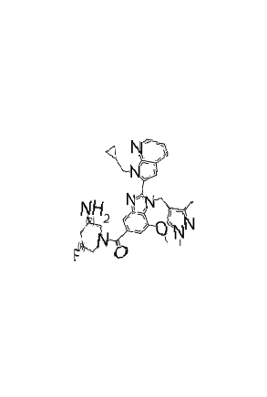 COc1cc(C(=O)N2C[C@H](N)C[C@@H](F)C2)cc2nc(-c3cc4cccnc4n3CC3CC3)n(Cc3cn(C)nc3C)c12